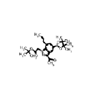 C=CCc1cc(B2OC(C)(C)C(C)(C)O2)cc2c(C(C)=O)nn(CC(=O)OC(C)(C)C)c12